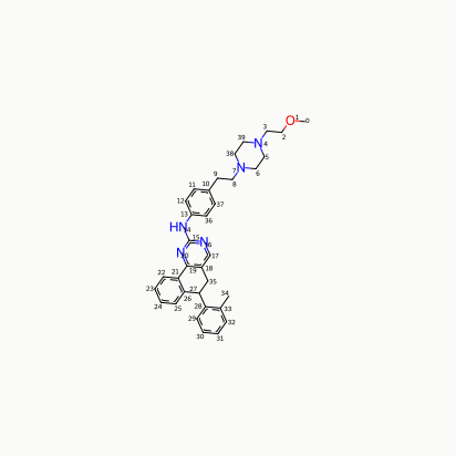 COCCN1CCN(CCc2ccc(Nc3ncc4c(n3)-c3ccccc3C(c3ccccc3C)C4)cc2)CC1